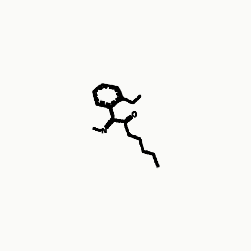 CCCCCC(=O)/C(=N/C)c1ccccc1CC